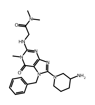 CN(C)C(=O)CNc1nc2nc(N3CCCC(N)C3)n(Cc3ccccc3)c2c(=O)n1C